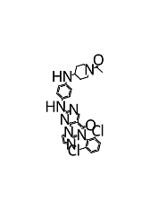 CC(=O)N1CCC(Nc2ccc(Nc3ncc4c(=O)n(-c5c(Cl)cccc5Cl)c5nccn5c4n3)cc2)CC1